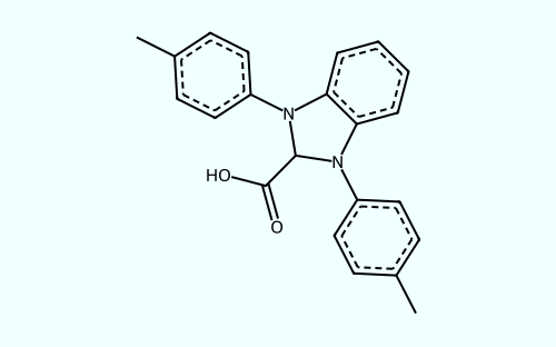 Cc1ccc(N2c3ccccc3N(c3ccc(C)cc3)C2C(=O)O)cc1